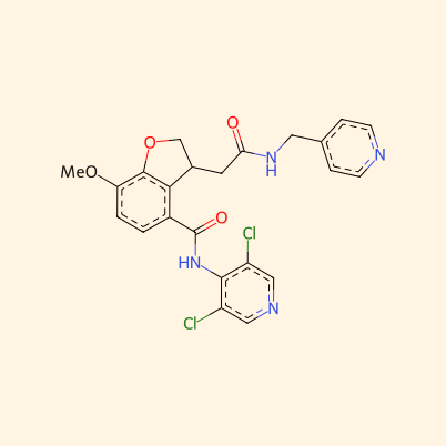 COc1ccc(C(=O)Nc2c(Cl)cncc2Cl)c2c1OCC2CC(=O)NCc1ccncc1